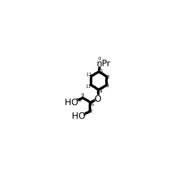 CCCC1CCC(OC(CO)CO)CC1